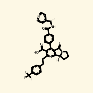 C[C@H](NC(=O)c1ccc(-c2c(C(=O)O)c(CCc3ccc(C(F)(F)F)cc3)nc3c2C(=O)N2CCC[C@@H]32)cc1)c1ccncc1